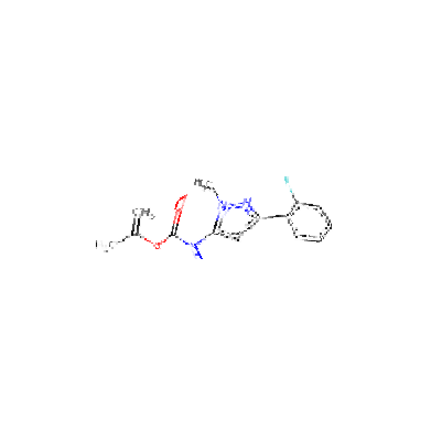 C=C(C)OC(=O)Nc1cc(-c2ccccc2F)nn1C